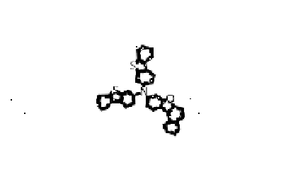 c1ccc2c(c1)ccc1oc3cc(N(c4ccc5c(c4)sc4ccccc45)c4ccc5c(c4)sc4ccccc45)ccc3c12